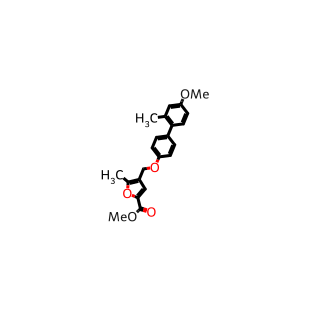 COC(=O)c1cc(COc2ccc(-c3ccc(OC)cc3C)cc2)c(C)o1